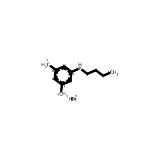 Br.CCCCPc1cc(C)cc(C)c1